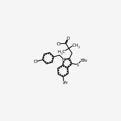 CC(C)c1ccc2c(c1)c(SC(C)(C)C)c(CC(C)(C)C(=O)Cl)n2Cc1ccc(Cl)cc1